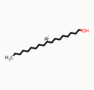 CCCCCCCCCCCCCCCCCCO.[Al]